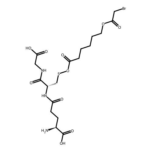 N[C@@H](CCC(=O)N[C@@H](CSOC(=O)CCCCCOC(=O)CBr)C(=O)NCC(=O)O)C(=O)O